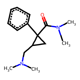 CN(C)CC1CC1(C(=O)N(C)C)c1ccccc1